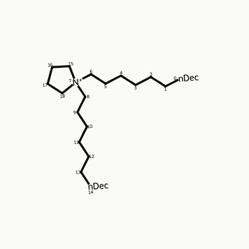 CCCCCCCCCCCCCCCC[N+]1(CCCCCCCCCCCCCCCC)CCCC1